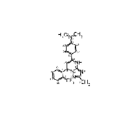 Cc1nc2n(n1)C(c1ccccc1C(F)(F)F)C=C(c1ccc(N(C)C)cc1)N2